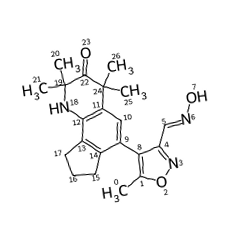 Cc1onc(C=NO)c1-c1cc2c(c3c1CCC3)NC(C)(C)C(=O)C2(C)C